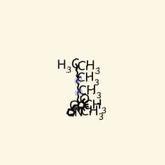 CC(C)=CCC/C(C)=C/CC/C(C)=C/CCc1c2oc3ccccc3nc-2c(C)c(C)c1=O